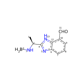 BN[C@@H](C)c1nc2cccc(C=O)c2[nH]1